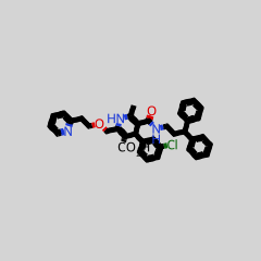 CC1=C(C(=O)NCCC(c2ccccc2)c2ccccc2)C(c2cccc(Cl)c2)C(C(=O)O)=C(COCCc2ccccn2)N1